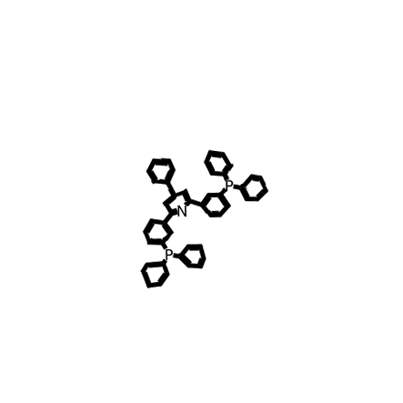 c1ccc(-c2cc(-c3cccc(P(c4ccccc4)c4ccccc4)c3)nc(-c3cccc(P(c4ccccc4)c4ccccc4)c3)c2)cc1